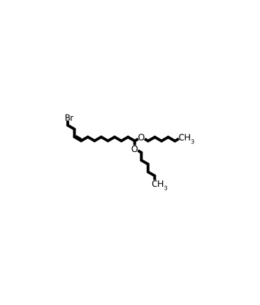 CCCCCCOC(CCCCCCC/C=C\CCBr)OCCCCCC